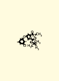 COC(=O)[C@@H]1C[C@@H](Oc2cccc(Cl)c2)CN1C(=O)OC(C)(C)C